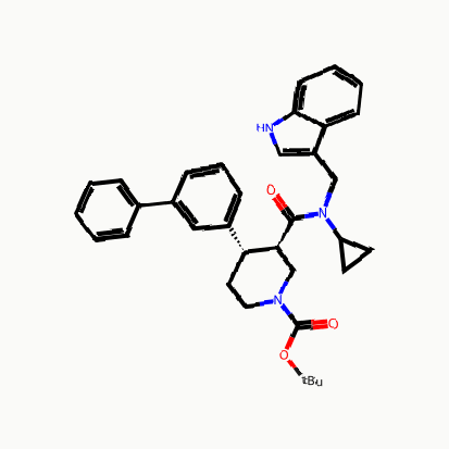 CC(C)(C)OC(=O)N1CC[C@H](c2cccc(-c3ccccc3)c2)[C@@H](C(=O)N(Cc2c[nH]c3ccccc23)C2CC2)C1